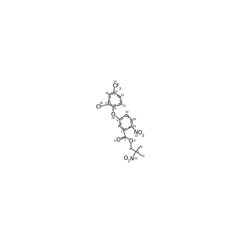 CC(C)(COC(=O)c1cc(Oc2ccc(C(F)(F)F)cc2Cl)ccc1[N+](=O)[O-])[N+](=O)[O-]